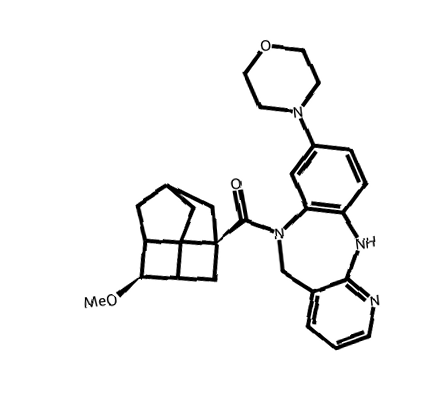 CO[C@H]1C2CC3CC24C1C[C@@]4(C(=O)N1Cc2cccnc2Nc2ccc(N4CCOCC4)cc21)C3